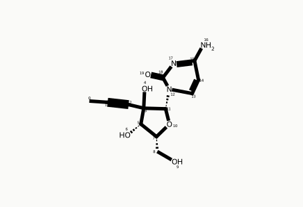 CC#CC1(O)[C@@H](O)[C@@H](CO)O[C@H]1n1ccc(N)nc1=O